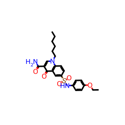 CCCCCCn1cc(C(N)=O)c(=O)c2cc(S(=O)(=O)Nc3ccc(OCC)cc3)ccc21